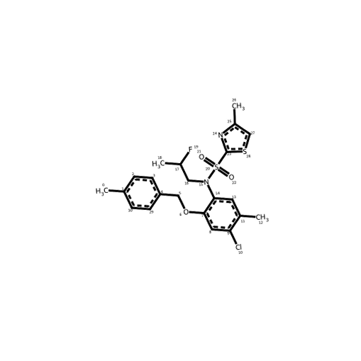 Cc1ccc(COc2cc(Cl)c(C)cc2N(CC(C)F)S(=O)(=O)c2nc(C)cs2)cc1